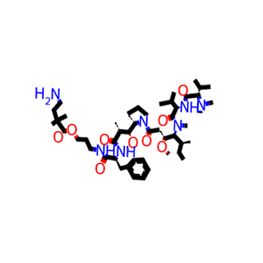 CC[C@H](C)[C@@H]([C@@H](CC(=O)N1CCC[C@H]1[C@H](OC)[C@@H](C)C(=O)N[C@@H](Cc1ccccc1)C(=O)NCCCOC(=O)C(C)(C)CCN)OC)N(C)C(=O)[C@@H](NC(=O)[C@H](C(C)C)N(C)C)C(C)C